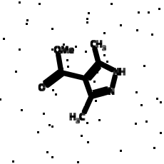 COC(=O)c1c(C)n[nH]c1C